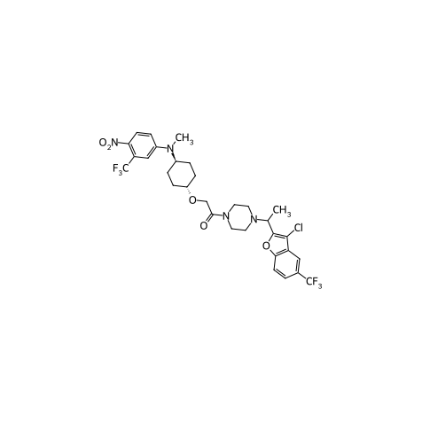 CC(c1oc2ccc(C(F)(F)F)cc2c1Cl)N1CCN(C(=O)CO[C@H]2CC[C@H](N(C)c3ccc([N+](=O)[O-])c(C(F)(F)F)c3)CC2)CC1